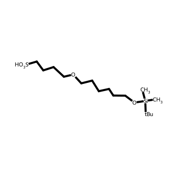 CC(C)(C)[Si](C)(C)OCCCCCCOCCCCS(=O)(=O)O